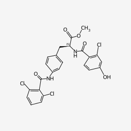 COC(=O)[C@H](Cc1ccc(NC(=O)c2c(Cl)cccc2Cl)cc1)NC(=O)c1ccc(O)cc1Cl